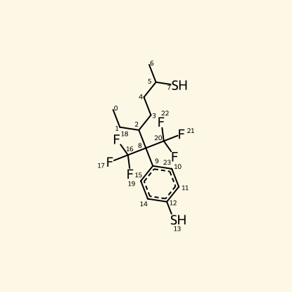 CCC(CCC(C)S)C(c1ccc(S)cc1)(C(F)(F)F)C(F)(F)F